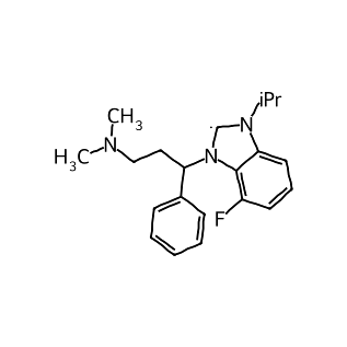 CC(C)N1[CH]N(C(CCN(C)C)c2ccccc2)c2c(F)cccc21